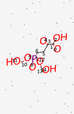 O=C(O)C(=O)CCP(=O)(OCO)OCO